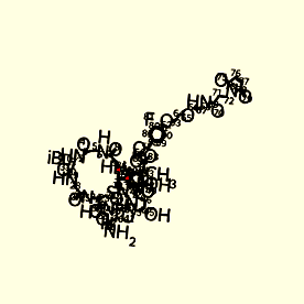 CC[C@H](C)[C@@H]1NC(=O)CNC(=O)C2Cc3c([nH]c4cc(O)ccc34)[S@+]([O-])CC(NC(=O)CNC1=O)C(=O)NC(CC(N)=O)C(=O)N1CC(O)CC1C(=O)N[C@@H]([C@@H](C)[C@@H]1COC(c3ccc(OCCOCCNC(=O)CCN4C(=O)C=CC4=O)c(F)c3)O1)C(=O)N2